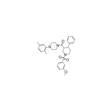 COc1cccc(S(=O)(=O)N2CCC(c3ccccc3)C(C(=O)N3CCN(c4cc(C)ccc4C)CC3)C2)c1